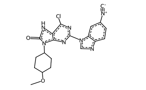 [C-]#[N+]c1ccc2ncn(-c3nc(Cl)c4[nH]c(=O)n(C5CCC(OC)CC5)c4n3)c2c1